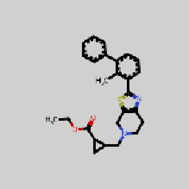 CCOC(=O)C1CC1CN1CCc2nc(-c3cccc(-c4ccccc4)c3C)sc2C1